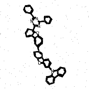 c1ccc(-c2nc(-c3ccccc3)nc(-c3cccc4c3oc3ccc(-c5ccc6oc7cc(-n8c9ccccc9c9ccccc98)ccc7c6c5)cc34)n2)cc1